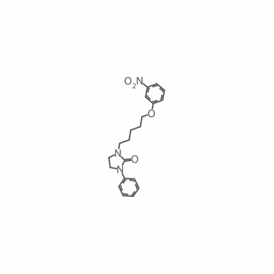 O=C1N(CCCCCOc2cccc([N+](=O)[O-])c2)CCN1c1ccccc1